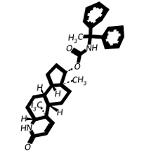 CC(NC(=O)O[C@H]1CC[C@H]2[C@@H]3CC[C@H]4NC(=O)C=C[C@]4(C)[C@H]3CC[C@]12C)(c1ccccc1)c1ccccc1